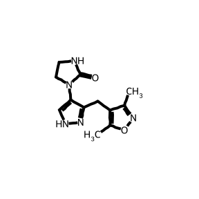 Cc1noc(C)c1Cc1n[nH]cc1N1CCNC1=O